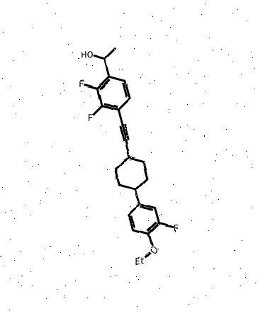 CCOc1ccc(C2CCC(C#Cc3ccc(C(C)O)c(F)c3F)CC2)cc1F